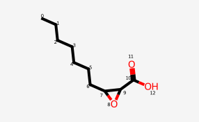 CCCCCCCC1OC1C(=O)O